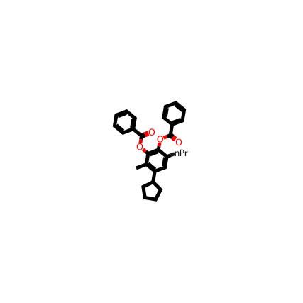 CCCc1cc(C2CCCC2)c(C)c(OC(=O)c2ccccc2)c1OC(=O)c1ccccc1